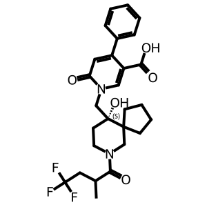 CC(CC(F)(F)F)C(=O)N1CC[C@@](O)(Cn2cc(C(=O)O)c(-c3ccccc3)cc2=O)C2(CCCC2)C1